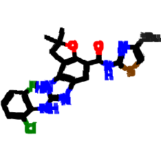 CC1(C)Cc2c(c(C(=O)Nc3nc(C(C)(C)C)cs3)cc3nc(Nc4c(F)cccc4Cl)[nH]c23)O1